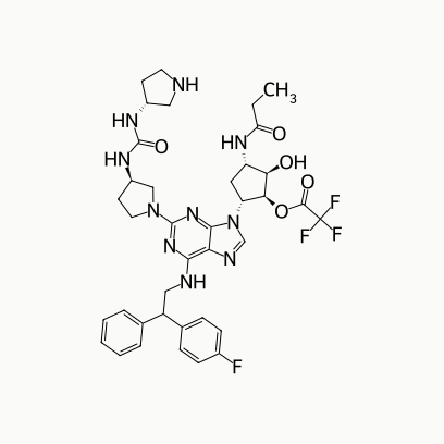 CCC(=O)N[C@H]1C[C@@H](n2cnc3c(NCC(c4ccccc4)c4ccc(F)cc4)nc(N4CC[C@@H](NC(=O)N[C@@H]5CCNC5)C4)nc32)[C@H](OC(=O)C(F)(F)F)[C@@H]1O